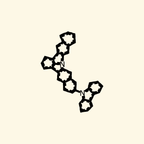 c1ccc2cc3c(cc2c1)c1cccc2c4cc5ccc(-n6c7ccccc7c7ccccc76)cc5cc4n3c12